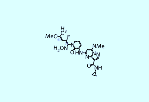 C=N/C(=C(F)\C=C(/C)OC)n1cccc(Nc2cc(NC)n3ncc(C(=O)NC4CC4)c3n2)c1=O